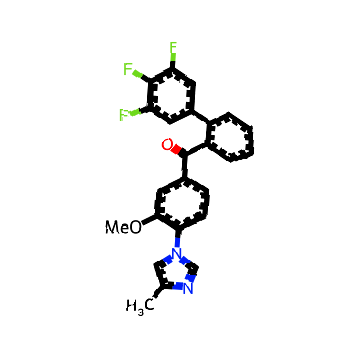 COc1cc(C(=O)c2ccccc2-c2cc(F)c(F)c(F)c2)ccc1-n1cnc(C)c1